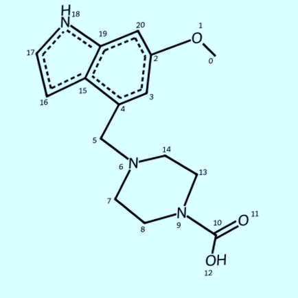 COc1cc(CN2CCN(C(=O)O)CC2)c2cc[nH]c2c1